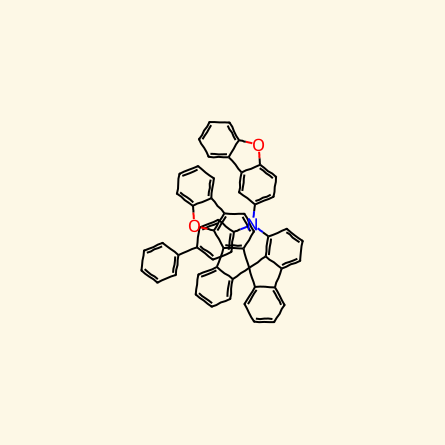 c1ccc(-c2ccc(N(c3ccc4oc5ccccc5c4c3)c3cccc4c3C3(c5ccccc5-4)c4ccccc4-c4c3ccc3c4oc4ccccc43)cc2)cc1